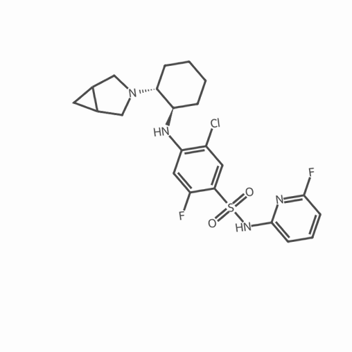 O=S(=O)(Nc1cccc(F)n1)c1cc(Cl)c(N[C@@H]2CCCC[C@H]2N2CC3CC3C2)cc1F